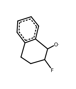 [O]C1c2ccccc2CCC1F